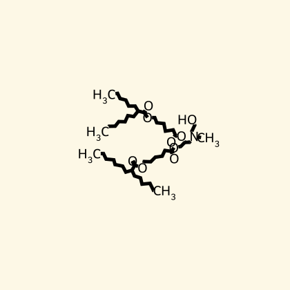 CCCCCCCC(CCCCCC)C(=O)OCCCCCC(=O)OCC(CN(C)CCO)OC(=O)CCCCCOC(=O)C(CCCCCC)CCCCCCC